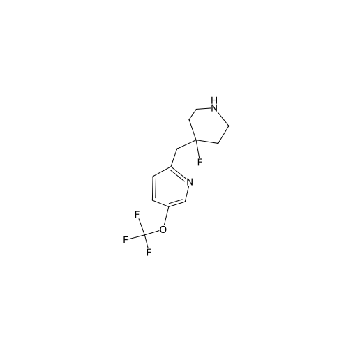 FC1(Cc2ccc(OC(F)(F)F)cn2)CCNCC1